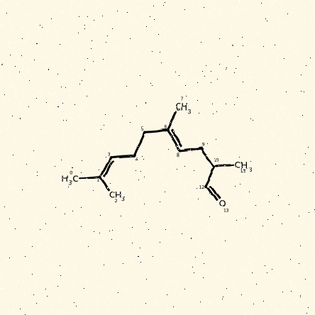 CC(C)=CCCC(C)=CCC(C)C=O